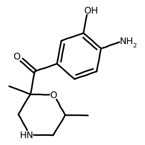 CC1CNCC(C)(C(=O)c2ccc(N)c(O)c2)O1